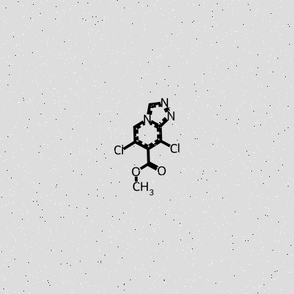 COC(=O)c1c(Cl)cn2cnnc2c1Cl